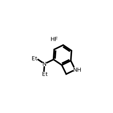 CCN(CC)c1cccc2c1CN2.F